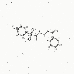 C=C(CCCNS(=O)(=O)c1ccc(C)cc1)c1ccccc1